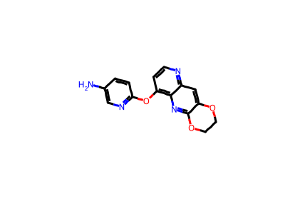 Nc1ccc(Oc2ccnc3cc4c(nc23)OCCO4)nc1